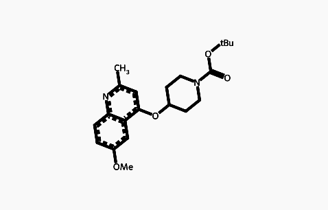 COc1ccc2nc(C)cc(OC3CCN(C(=O)OC(C)(C)C)CC3)c2c1